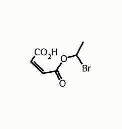 CC(Br)OC(=O)/C=C\C(=O)O